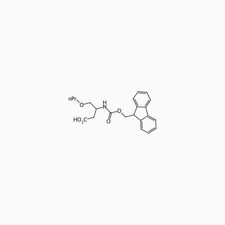 CCCOCC(CC(=O)O)NC(=O)OCC1c2ccccc2-c2ccccc21